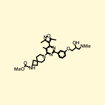 CNCC(O)COc1cccc(-c2nc(-c3c(C)noc3C)c(C)c(N3CCC4(CC3)CC(NC(=O)OC)C4)n2)c1